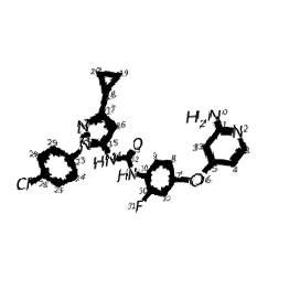 NC1=NC=CC(Oc2ccc(NC(=O)Nc3cc(C4CC4)nn3-c3ccc(Cl)cc3)c(F)c2)C1